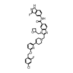 O=C(Nc1ccc2[nH]nc(F)c2c1)c1ccc2nc(CN3CC=C(c4cccc(OCc5ccc(Cl)cc5F)n4)CC3)n(CC3CCO3)c2c1